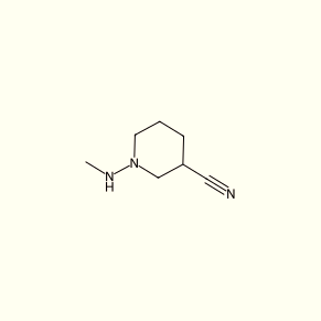 CNN1CCCC(C#N)C1